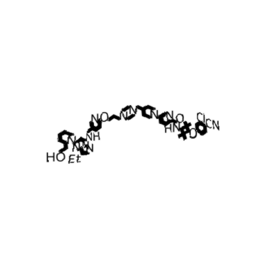 CCc1cnn2c(NCc3ccc(OCCCN4CCN(CC5CCN(c6ccc(C(=O)N[C@H]7C(C)(C)[C@H](Oc8ccc(C#N)c(Cl)c8)C7(C)C)nc6)CC5)CC4)nc3)cc(N3CCCCC3CCO)nc12